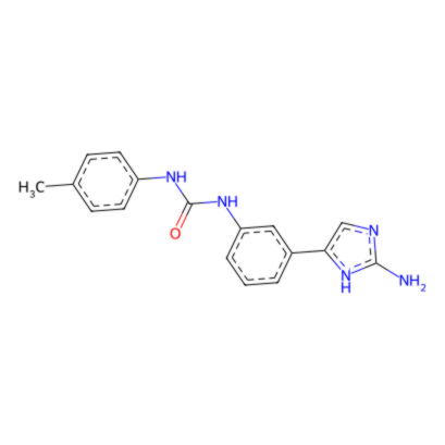 Cc1ccc(NC(=O)Nc2cccc(-c3cnc(N)[nH]3)c2)cc1